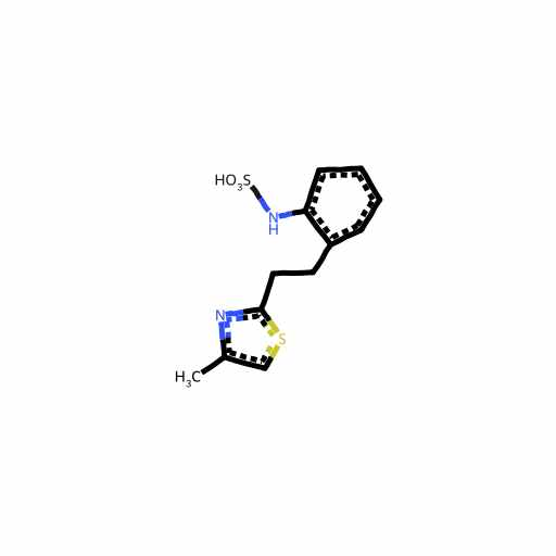 Cc1csc(CCc2ccccc2NS(=O)(=O)O)n1